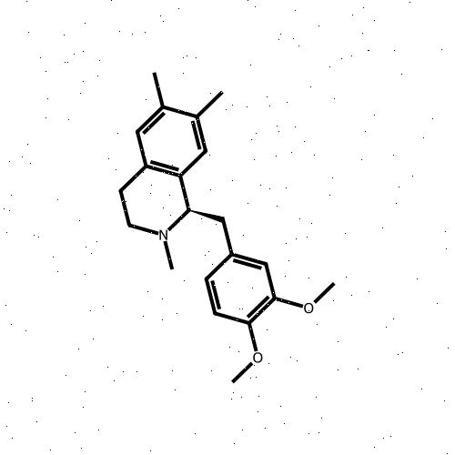 COc1ccc(C[C@@H]2c3cc(C)c(C)cc3CCN2C)cc1OC